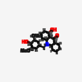 COc1cc(Cn2c3ccccc3c(=O)c3c(O)cccc32)cc(OC)c1O